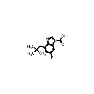 CC(C)(C)Cc1cc(F)cc2c1ncn2C(=O)O